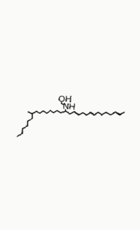 CCCCCCCCCCCCCCC(CCCCCCCCC(C)CCCCCC)NCO